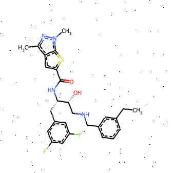 CCc1cccc(CNC[C@@H](O)[C@H](Cc2cc(F)cc(F)c2)NC(=O)c2cc3c(C)nn(C)c3s2)c1